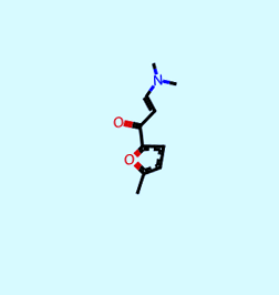 Cc1ccc(C(=O)C=CN(C)C)o1